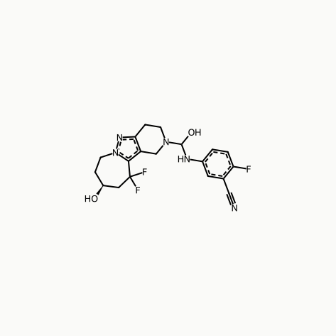 N#Cc1cc(NC(O)N2CCc3nn4c(c3C2)C(F)(F)C[C@@H](O)CC4)ccc1F